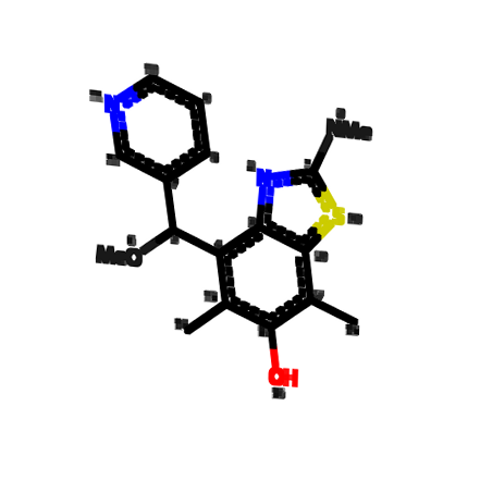 CNc1nc2c(C(OC)c3cccnc3)c(C)c(O)c(C)c2s1